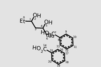 CCC(O)CC(O)C(C)(C)C.O=C(O)c1ccccc1.O=C(O)c1ccccc1